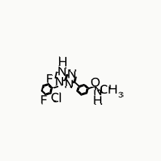 CNC(=O)c1cccc(-c2cnc3c(n2)N(Cc2c(F)ccc(F)c2Cl)CCN3)c1